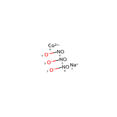 O=N[O-].O=N[O-].O=N[O-].[Co+2].[Na+]